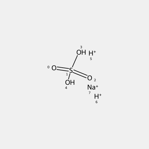 O=S(=O)(O)O.[H+].[H+].[Na+]